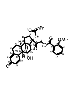 CCCC(=O)O[C@@]1(C(=O)COC(=O)c2ccccc2OC)CC[C@H]2[C@@H]3CCC4=CC(=O)C=C[C@]4(C)[C@H]3[C@@H](O)C[C@@]21C